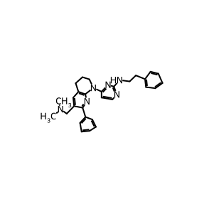 CN(C)Cc1cc2c(nc1-c1ccccc1)N(c1ccnc(NCCc3ccccc3)n1)CCC2